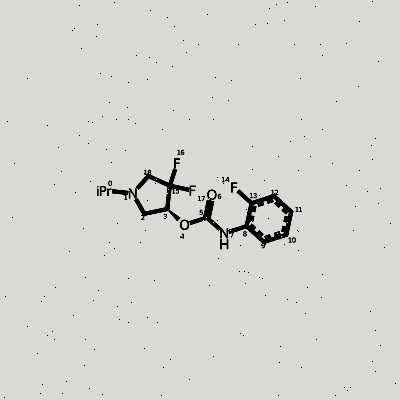 CC(C)N1C[C@H](OC(=O)Nc2ccccc2F)C(F)(F)C1